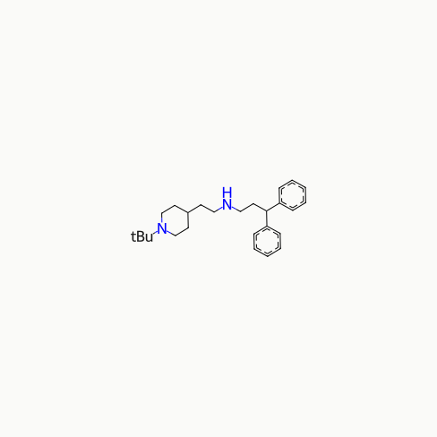 CC(C)(C)N1CCC(CCNCCC(c2ccccc2)c2ccccc2)CC1